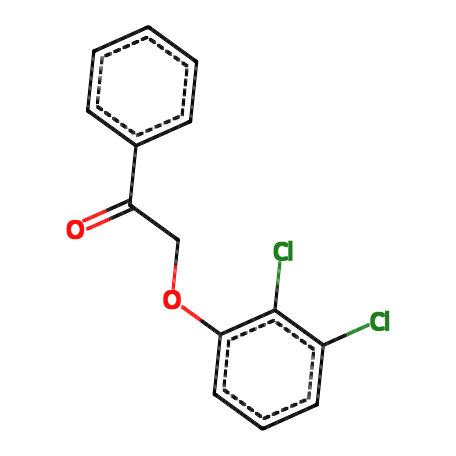 O=C(COc1cccc(Cl)c1Cl)c1ccccc1